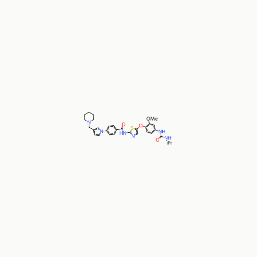 COc1cc(NC(=O)NC(C)C)ccc1Oc1cnc(NC(=O)c2ccc(-n3ccc(CN4CCCCC4)c3)cc2)s1